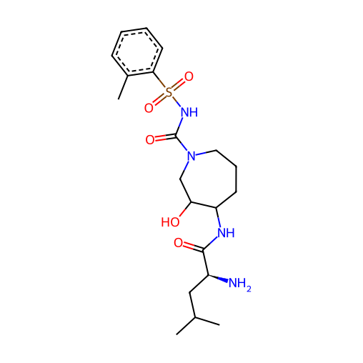 Cc1ccccc1S(=O)(=O)NC(=O)N1CCCC(NC(=O)[C@@H](N)CC(C)C)C(O)C1